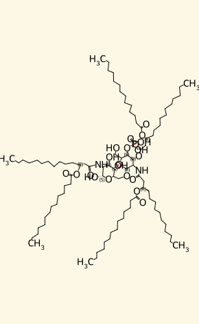 CCCCCCCCCCCCCC(=O)O[C@H](CCCCCCCCCCC)CC(=O)NC1[C@H](OCC2O[C@H](O)C(NC(=O)C[C@@H](CCCCCCCCCCC)OC(=O)CCCCCCCCCCCCC)[C@@H](O)[C@@H]2O)OC(CO)[C@@H](OP(=O)(O)O)[C@@H]1OC(=O)C[C@@H](CCCCCCCCCCC)OC(=O)CCCCCCCCCCCCC